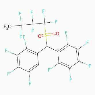 O=S(=O)(C(c1cc(F)c(F)c(F)c1F)c1c(F)c(F)c(F)c(F)c1F)C(F)(F)C(F)(F)C(F)(F)C(F)(F)F